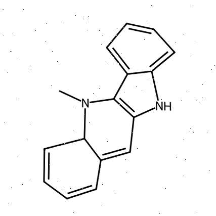 CN1c2c([nH]c3ccccc23)C=C2C=CC=CC21